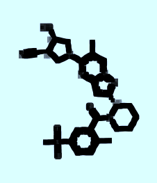 Cc1ccc(S(C)(=O)=O)cc1C(=O)N1CCCC[C@H]1c1cc2nc(N3C[C@@H](C#N)[C@@H](O)C3)c(C)cn2n1